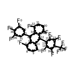 Fc1cc(-c2c3c(F)cccc3c(-c3c(F)c(F)c(C(F)(F)F)c(F)c3F)c3c(F)ccc(F)c23)cc(F)c1F